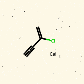 C#CC(=C)Cl.[CaH2]